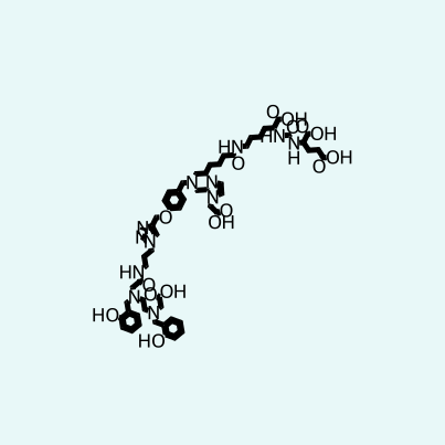 O=C(O)CCC(NC(=O)NC(CCCCNC(=O)CCCCCN(Cc1ccc(OCc2cn(CCCNC(=O)CN(CCN(CC(=O)O)Cc3ccccc3O)Cc3ccccc3O)nn2)cc1)Cc1nccn1CC(=O)O)C(=O)O)C(=O)O